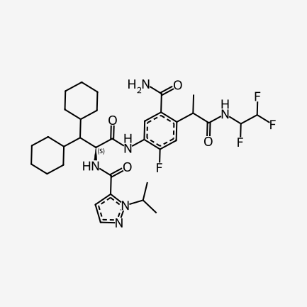 CC(C(=O)NC(F)C(F)F)c1cc(F)c(NC(=O)[C@@H](NC(=O)c2ccnn2C(C)C)C(C2CCCCC2)C2CCCCC2)cc1C(N)=O